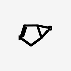 C1=NCC2OC12